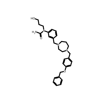 NC(=O)N(CCCO)c1cccc(CN2CCCN(Cc3ccc(OCc4ccccc4)cc3)CC2)c1